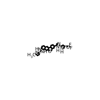 C[C@H]1CC[C@@H](c2nc3ccc4cc5c(cc4c3[nH]2)OCc2cc(-c3cnc([C@@H]4C[C@H](COC(F)F)CN4)[nH]3)ccc2-5)N1